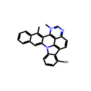 Cc1c2ccccc2cc2c1c1c3c(ccc4c5c(C(C)C)cccc5n2c43)nc[n+]1C